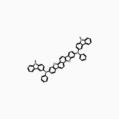 Cn1c2ccccc2c2cc(N(c3ccccc3)c3ccc4c(c3)oc3c4ccc4c3ccc3c5ccc(N(c6ccccc6)c6ccc7c(c6)c6ccccc6n7C)cc5oc34)ccc21